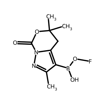 Cc1nn2c(c1B(O)OF)CC(C)(C)OC2=O